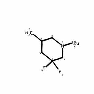 CC1CN(C(C)(C)C)CC(F)(F)C1